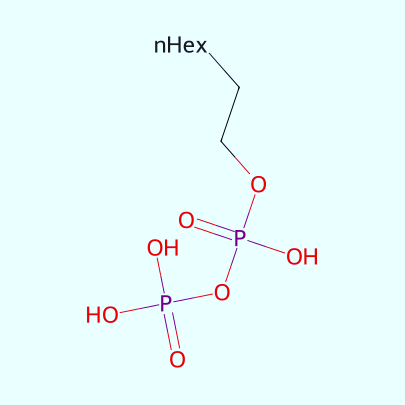 CCCCCCCCOP(=O)(O)OP(=O)(O)O